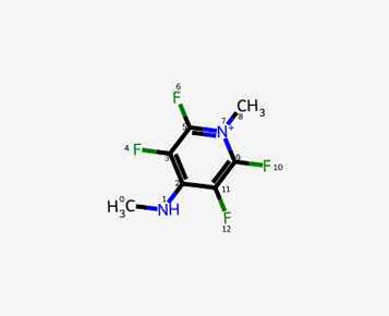 CNc1c(F)c(F)[n+](C)c(F)c1F